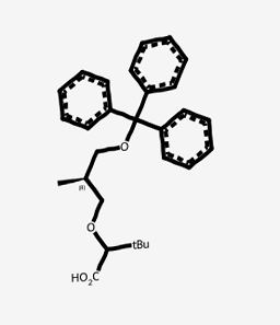 C[C@H](COC(C(=O)O)C(C)(C)C)COC(c1ccccc1)(c1ccccc1)c1ccccc1